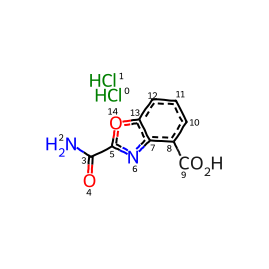 Cl.Cl.NC(=O)c1nc2c(C(=O)O)cccc2o1